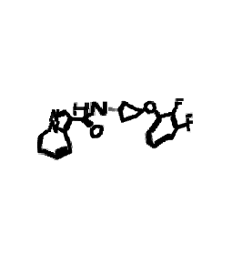 O=C(N[C@H]1C[C@H](Oc2cccc(F)c2F)C1)c1cnn2ccccc12